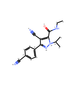 CCNC(=O)c1c(C#N)c(-c2ccc(C#N)cc2)nn1C(C)C